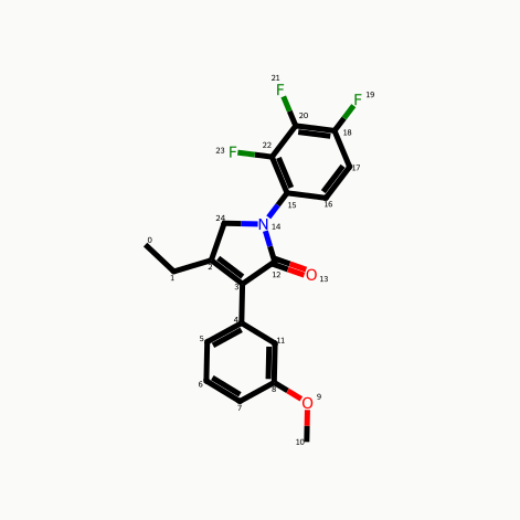 CCC1=C(c2cccc(OC)c2)C(=O)N(c2ccc(F)c(F)c2F)C1